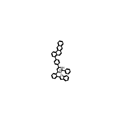 C1=C(c2ccc(-c3cccc4c3ccc3cc5ccccc5cc34)cc2)NC(c2ccccc2)NC1c1ccccc1-c1cc2ccccc2o1